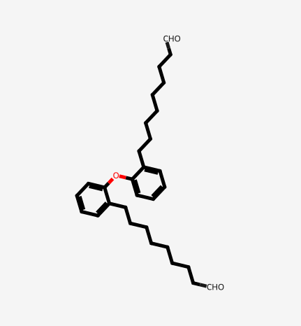 O=CCCCCCCCCc1ccccc1Oc1ccccc1CCCCCCCCC=O